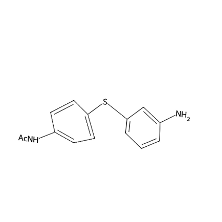 CC(=O)Nc1ccc(Sc2cccc(N)c2)cc1